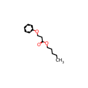 CCCCCOC(=O)CCOc1ccccc1